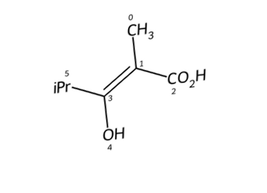 CC(C(=O)O)=C(O)C(C)C